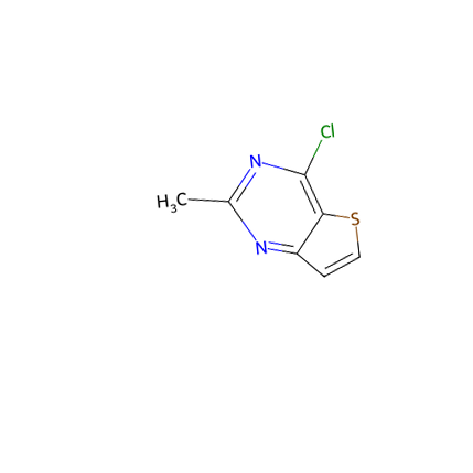 Cc1nc(Cl)c2sccc2n1